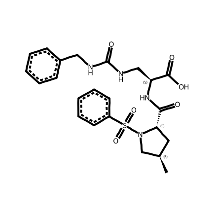 C[C@@H]1C[C@@H](C(=O)N[C@@H](CNC(=O)NCc2ccccc2)C(=O)O)N(S(=O)(=O)c2ccccc2)C1